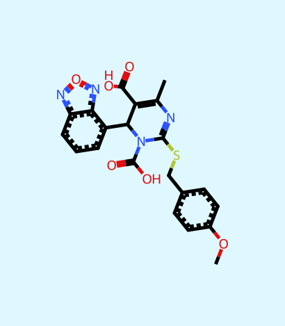 COc1ccc(CSC2=NC(C)=C(C(=O)O)C(c3cccc4nonc34)N2C(=O)O)cc1